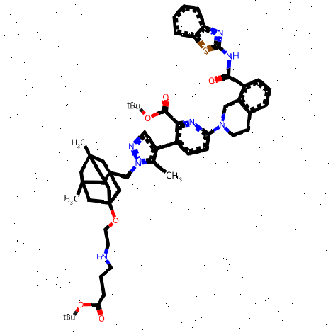 Cc1c(-c2ccc(N3CCc4cccc(C(=O)Nc5nc6ccccc6s5)c4C3)nc2C(=O)OC(C)(C)C)cnn1CC12CC3(C)CC(C)(C1)CC(OCCNCCCC(=O)OC(C)(C)C)(C3)C2